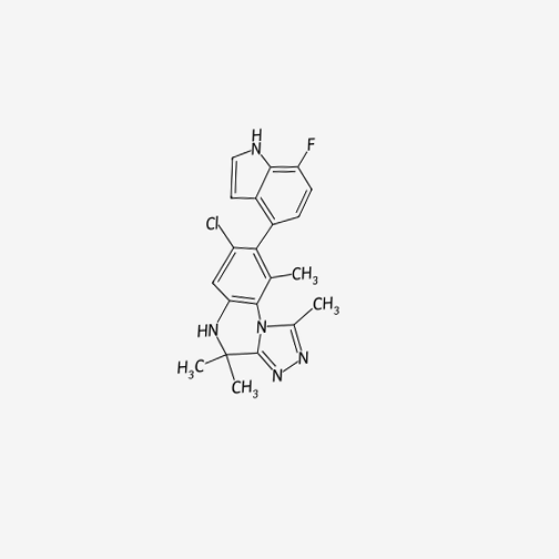 Cc1c(-c2ccc(F)c3[nH]ccc23)c(Cl)cc2c1-n1c(C)nnc1C(C)(C)N2